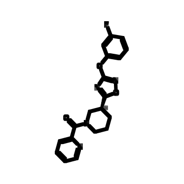 O=C(c1ccccn1)N1CCC[C@H](c2nc(Oc3cccc(F)c3)no2)C1